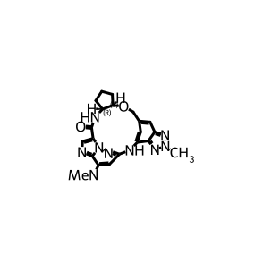 CNc1cc2nn3c(cnc13)C(=O)N[C@@H]1CCC[C@@H]1OCc1cc(c3nn(C)nc3c1)N2